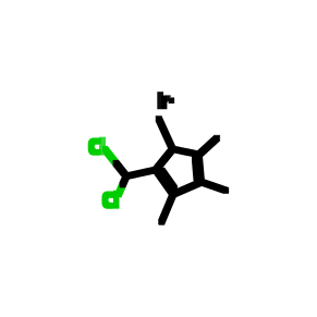 CC1=C(C)C(C)C(C(Cl)Cl)=C1C.[Ir]